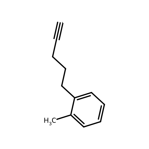 [C]#CCCCc1ccccc1C